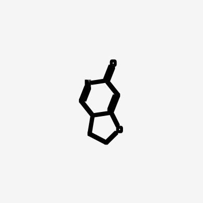 O=C1C=C2OCCC2C=N1